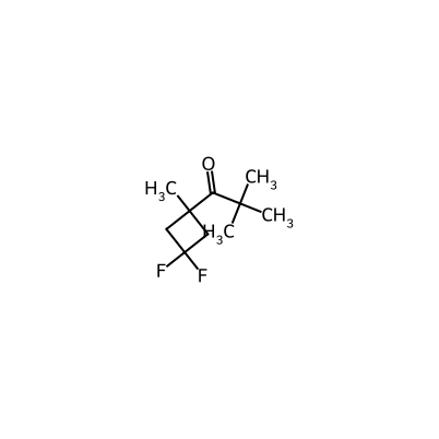 CC(C)(C)C(=O)C1(C)CC(F)(F)C1